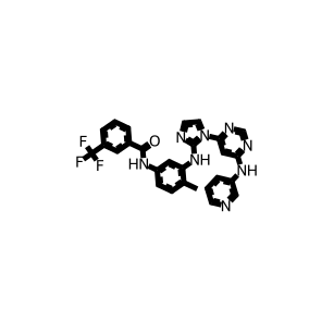 Cc1ccc(NC(=O)c2cccc(C(F)(F)F)c2)cc1Nc1nccn1-c1cc(Nc2cccnc2)ncn1